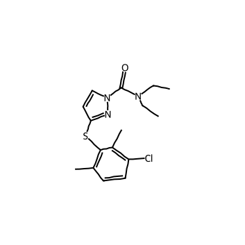 CCN(CC)C(=O)n1ccc(Sc2c(C)ccc(Cl)c2C)n1